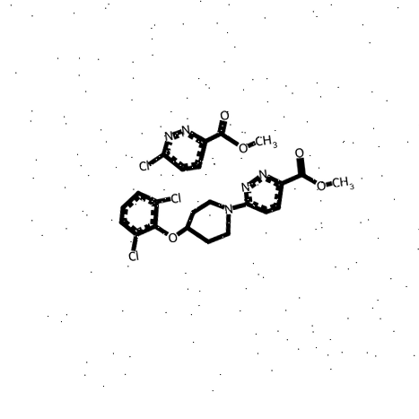 COC(=O)c1ccc(Cl)nn1.COC(=O)c1ccc(N2CCC(Oc3c(Cl)cccc3Cl)CC2)nn1